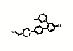 CCc1ccc(-c2ccc(N3CCN(CC(C)(C)C)CC3)cc2)c(N2CCCC(C)C2)c1